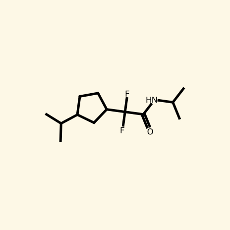 CC(C)NC(=O)C(F)(F)C1CCC(C(C)C)C1